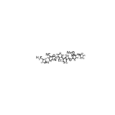 CCc1c(-c2nc3cc(CN4CC[C@@H](C)C4)cc(C#N)c3o2)cccc1-c1cccc2c1CC[C@H]2Oc1ccc(CN2CCCC2)c(OC)n1